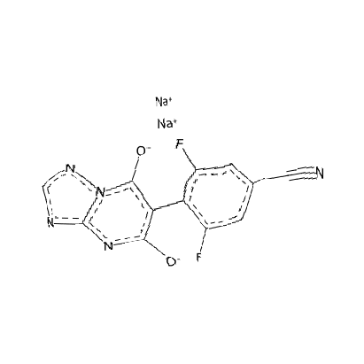 N#Cc1cc(F)c(-c2c([O-])nc3ncnn3c2[O-])c(F)c1.[Na+].[Na+]